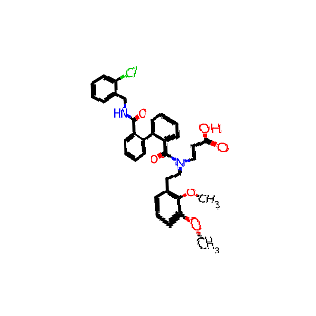 COc1cccc(CCN(CCC(=O)O)C(=O)c2ccccc2-c2ccccc2C(=O)NCc2ccccc2Cl)c1OC